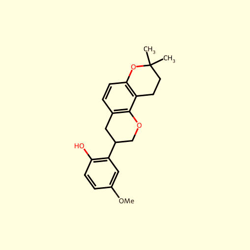 COc1ccc(O)c(C2COc3c(ccc4c3CCC(C)(C)O4)C2)c1